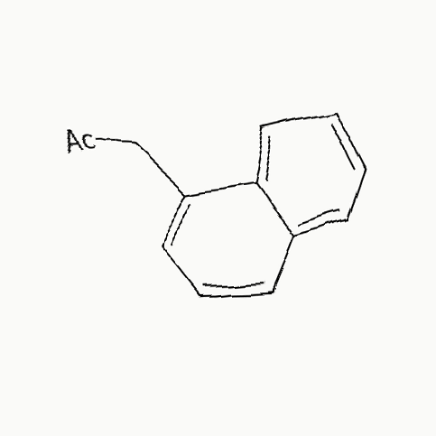 [CH2]C(=O)Cc1cccc2ccccc12